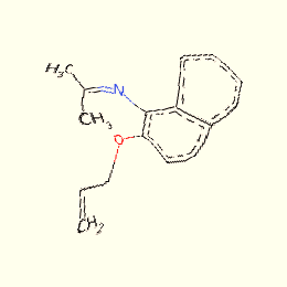 C=CCOc1ccc2ccccc2c1N=C(C)C